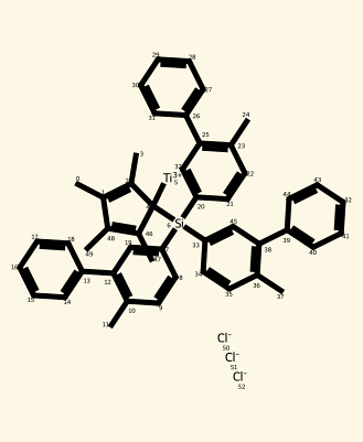 CC1=C(C)[C]([Ti+3])([Si](c2ccc(C)c(-c3ccccc3)c2)(c2ccc(C)c(-c3ccccc3)c2)c2ccc(C)c(-c3ccccc3)c2)C(C)=C1C.[Cl-].[Cl-].[Cl-]